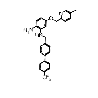 Cc1ccc(COc2ccc(N)c(NCc3ccc(-c4ccc(C(F)(F)F)cc4)cc3)c2)nc1